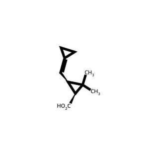 CC1(C)[C@H](C=C2CC2)[C@@H]1C(=O)O